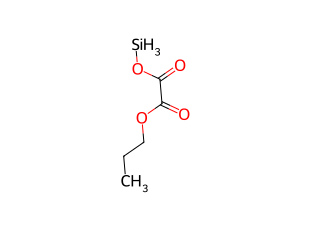 CCCOC(=O)C(=O)O[SiH3]